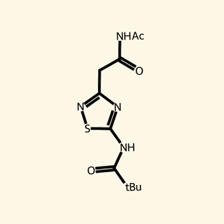 CC(=O)NC(=O)Cc1nsc(NC(=O)C(C)(C)C)n1